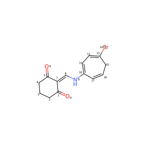 O=C1CCCC(=O)C1=CNC1=CC=C(Br)CC=C1